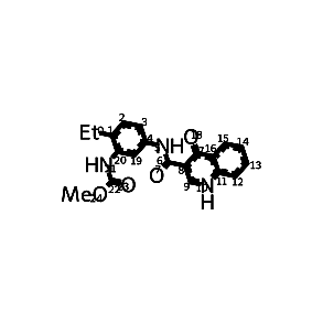 CCc1ccc(NC(=O)c2c[nH]c3ccccc3c2=O)cc1NC(=O)OC